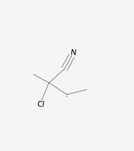 C[CH]C(C)(Cl)C#N